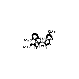 COCc1nnc(NS(=O)(=O)[C@@H](C)[C@H](C)c2ncc(OC)cn2)n1-c1c(OC)cccc1OC